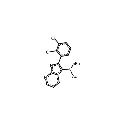 CCCCN(C(C)=O)c1c(-c2cccc(Cl)c2Cl)nc2ncccn12